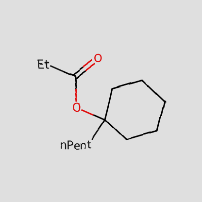 CCCCCC1(OC(=O)CC)CCCCC1